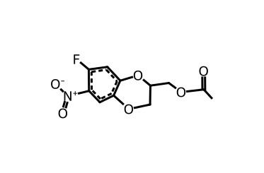 CC(=O)OCC1COc2cc([N+](=O)[O-])c(F)cc2O1